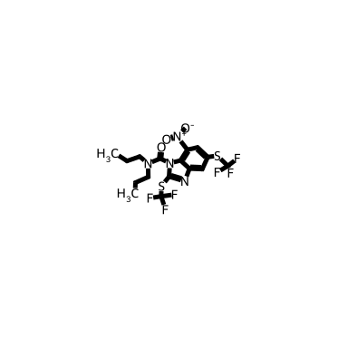 CCCN(CCC)C(=O)n1c(SC(F)(F)F)nc2cc(SC(F)(F)F)cc([N+](=O)[O-])c21